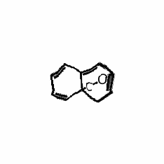 C1=CC2=CC3=CCC2(C=C1)CO3